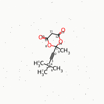 CC1(C#C[Si](C)(C)C)OC(=O)CC(=O)O1